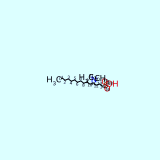 CCCCCCCCCCCC(CCCS(=O)(=O)O)N(C)C